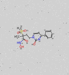 CC(CCn1ccc(-c2ccccc2)nc1=O)(C(=O)NO)S(C)(=O)=O